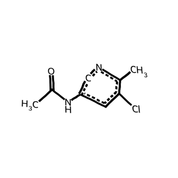 CC(=O)Nc1cnc(C)c(Cl)c1